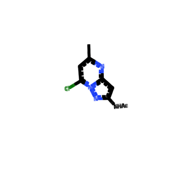 CC(=O)Nc1cc2nc(C)cc(Cl)n2n1